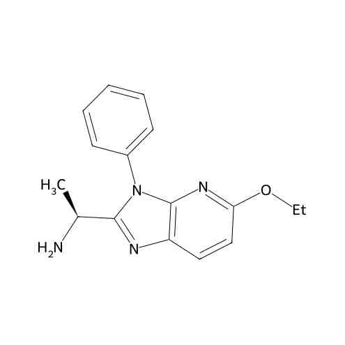 CCOc1ccc2nc([C@H](C)N)n(-c3ccccc3)c2n1